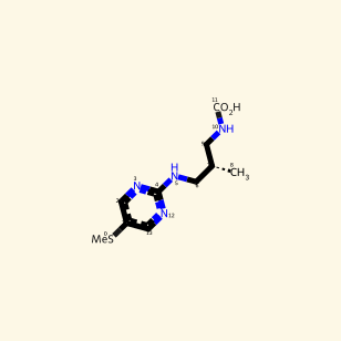 CSc1cnc(NC[C@@H](C)CNC(=O)O)nc1